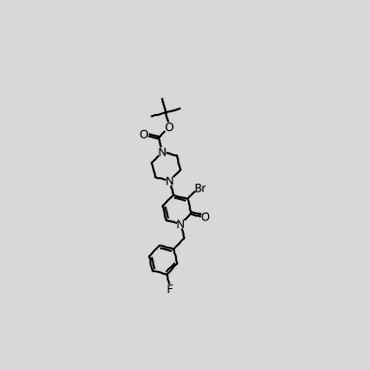 CC(C)(C)OC(=O)N1CCN(c2ccn(Cc3cccc(F)c3)c(=O)c2Br)CC1